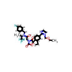 CCOCn1ccnc1-c1ccc2c(c1)CC[C@@]21OC(=O)N(CC(=O)N(Cc2ccc(F)cc2)C(C)C(F)(F)F)C1=O